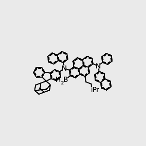 Bc1cc2c(CCC(C)C)cc3c(N(c4ccccc4)c4ccc5ccccc5c4)ccc4ccc(c1N(c1ccc5c(c1)-c1ccccc1C51C5CC6CC(C5)CC1C6)c1cccc5ccccc15)c2c43